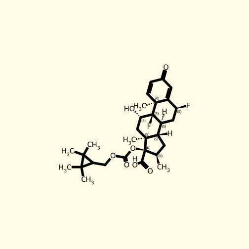 C[C@@H]1C[C@H]2[C@@H]3C[C@H](F)C4=CC(=O)C=C[C@]4(C)[C@@]3(F)[C@@H](O)C[C@]2(C)[C@@]1(OC(=O)OCC1C(C)(C)C1(C)C)C(=O)O